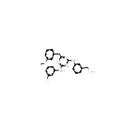 COc1cccc(Cc2nc(Nc3cccc(Cl)c3)nc(Nc3cccc(CO)c3)n2)c1